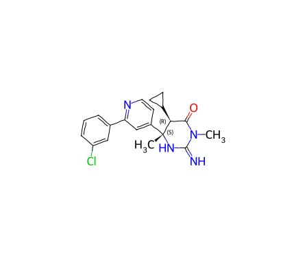 CN1C(=N)N[C@](C)(c2ccnc(-c3cccc(Cl)c3)c2)[C@@H](C2CC2)C1=O